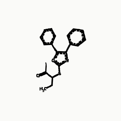 CCC(Sc1nc(-c2ccccc2)c(-c2ccccc2)o1)C(=O)I